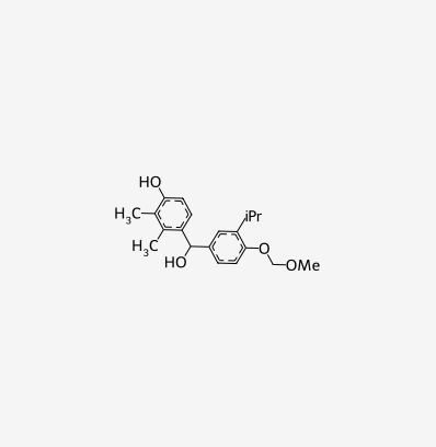 COCOc1ccc(C(O)c2ccc(O)c(C)c2C)cc1C(C)C